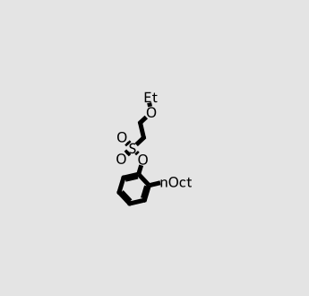 CCCCCCCCc1ccccc1OS(=O)(=O)CCOCC